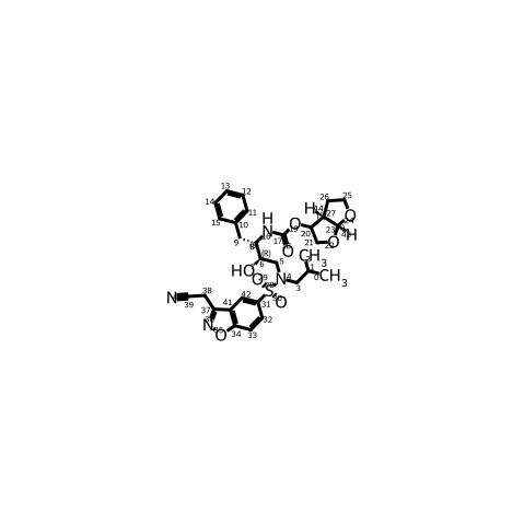 CC(C)CN(C[C@@H](O)[C@H](Cc1ccccc1)NC(=O)OC1CO[C@H]2OCC[C@@H]12)S(=O)(=O)c1ccc2onc(CC#N)c2c1